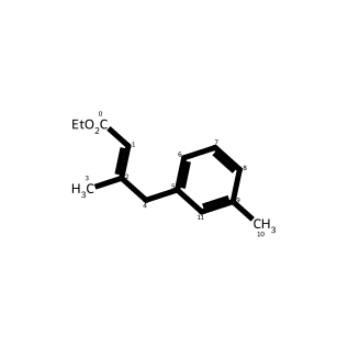 CCOC(=O)C=C(C)Cc1cccc(C)c1